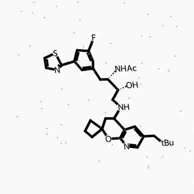 CC(=O)N[C@@H](Cc1cc(F)cc(-c2nccs2)c1)[C@H](O)CNC1CC2(CCC2)Oc2ncc(CC(C)(C)C)cc21